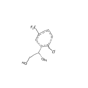 OCC(O)c1cc(C(F)(F)F)ccc1Cl